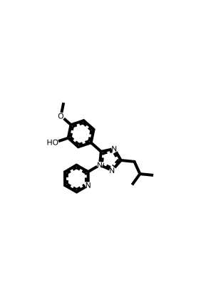 COc1ccc(-c2nc(CC(C)C)nn2-c2ccccn2)cc1O